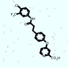 O=C(CCc1ccc(Oc2ccnc(C(=O)O)c2)cc1)Nc1ccc(Cl)c(C(F)(F)F)c1